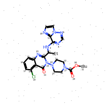 CCC(Nc1ncnn2ccnc12)c1nc2cccc(Cl)c2c(=O)n1N1CCN(C(=O)OC(C)(C)C)CC1